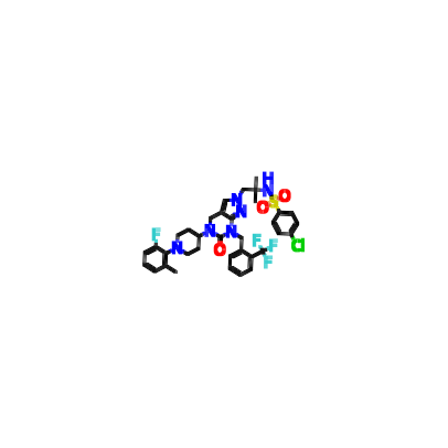 Cc1cccc(F)c1N1CCC(N2Cc3cn(CC(C)(C)NS(=O)(=O)c4ccc(Cl)cc4)nc3N(Cc3ccccc3C(F)(F)F)C2=O)CC1